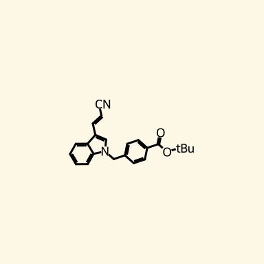 CC(C)(C)OC(=O)c1ccc(Cn2cc(/C=C/C#N)c3ccccc32)cc1